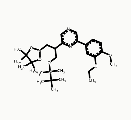 CCOc1cc(-c2cncc(C(CO[Si](C)(C)C(C)(C)C)CB3OC(C)(C)C(C)(C)O3)n2)ccc1OC